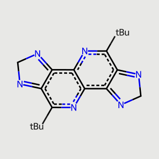 CC(C)(C)c1nc2c3c(c(C(C)(C)C)nc2c2c1=NCN=2)=NCN=3